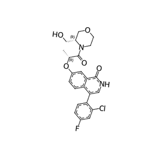 C[C@@H](Oc1ccc2c(-c3ccc(F)cc3Cl)c[nH]c(=O)c2c1)C(=O)N1CCOC[C@H]1CO